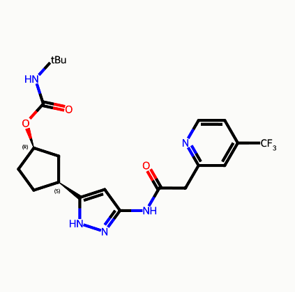 CC(C)(C)NC(=O)O[C@@H]1CC[C@H](c2cc(NC(=O)Cc3cc(C(F)(F)F)ccn3)n[nH]2)C1